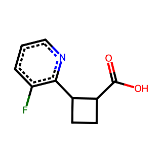 O=C(O)C1CCC1c1ncccc1F